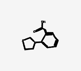 O=C(O)c1ccccc1N1CCSC1